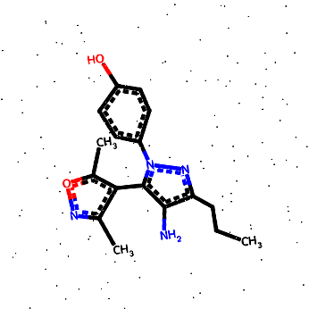 CCCc1nn(-c2ccc(O)cc2)c(-c2c(C)noc2C)c1N